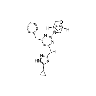 c1ccc(Cc2cc(Nc3cc(C4CC4)[nH]n3)nc(N3C[C@@H]4C[C@H]3CO4)n2)cc1